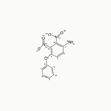 Nc1ccc(Oc2ccccc2)c([N+](=O)[O-])c1[N+](=O)[O-]